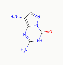 Nc1nc2c(N)cnn2c(=O)[nH]1